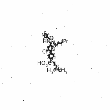 CC(C)CCCn1nc(NC(=O)c2cnsc2)c2cc(Cl)c(-c3ccc(N(CCCN(C)C)C(=O)O)cc3)nc21